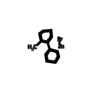 Cc1ccccc1-c1ccccc1.[Zn][Br]